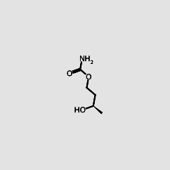 C[C@@H](O)CCOC(N)=O